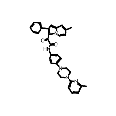 Cc1ccn2c(C(=O)C(=O)Nc3ccc(N4CCN(c5cccc(C)n5)CC4)cc3)c(-c3ccccc3)cc2c1